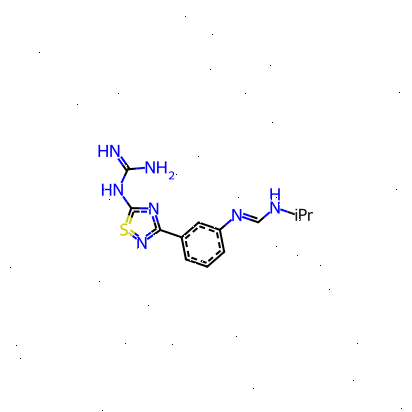 CC(C)NC=Nc1cccc(-c2nsc(NC(=N)N)n2)c1